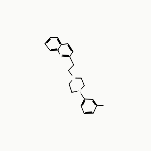 Fc1cccc(N2CCN(CCc3ccc4ccccc4n3)CC2)c1